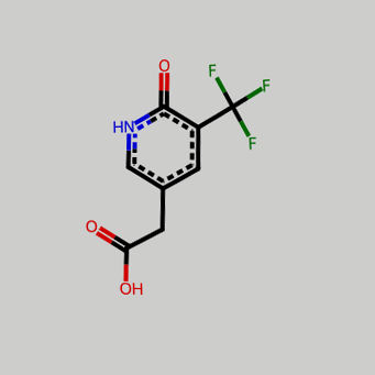 O=C(O)Cc1c[nH]c(=O)c(C(F)(F)F)c1